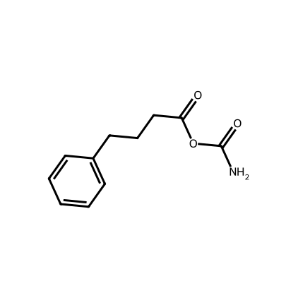 NC(=O)OC(=O)CCCc1ccccc1